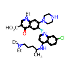 CCN(CC)CCCC(C)Nc1ccnc2cc(Cl)ccc12.CCn1cc(C(=O)O)c(=O)c2cc(F)c(N3CCNCC3)cc21